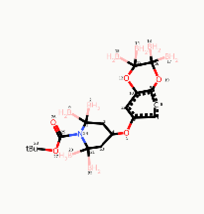 BC1(B)CC(Oc2ccc3c(c2)OC(B)(B)C(B)(B)O3)CC(B)(B)N1C(=O)OC(C)(C)C